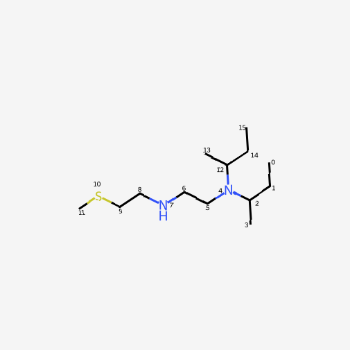 CCC(C)N(CCNCCSC)C(C)CC